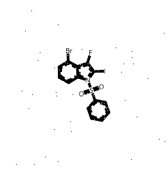 O=S(=O)(c1ccccc1)n1c(I)c(F)c2c(Br)cccc21